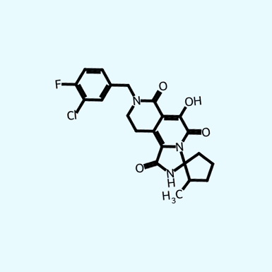 CC1CCCC12NC(=O)c1c3c(c(O)c(=O)n12)C(=O)N(Cc1ccc(F)c(Cl)c1)CC3